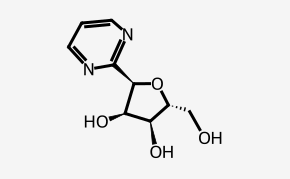 OC[C@H]1O[C@H](c2ncccn2)[C@H](O)[C@@H]1O